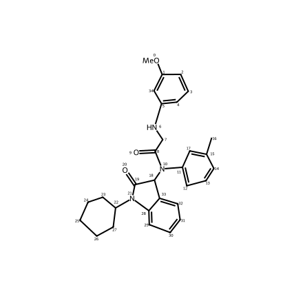 COc1cccc(NCC(=O)N(c2cccc(C)c2)C2C(=O)N(C3CCCCC3)c3ccccc32)c1